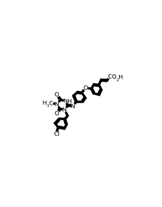 Cn1c(=O)[nH]/c(=N\c2ccc(Oc3cccc(/C=C/C(=O)O)c3)cc2)n(Cc2ccc(Cl)cc2)c1=O